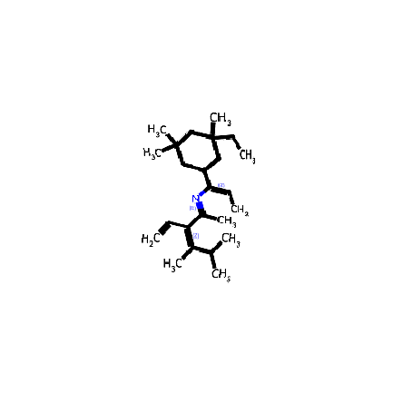 C=CC(=C(\C)C(C)C)/C(C)=N/C(=C\C)C1CC(C)(C)CC(C)(CC)C1